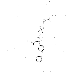 CC(Cl)C1OC1N1CC2(CN(c3nc(-c4ccc(Oc5ccccc5)cc4)c(C(N)=O)s3)C2)C1